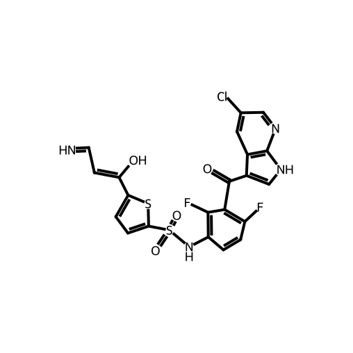 N=C/C=C(\O)c1ccc(S(=O)(=O)Nc2ccc(F)c(C(=O)c3c[nH]c4ncc(Cl)cc34)c2F)s1